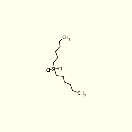 CCCCCC[Si](Cl)(Cl)CCCCCC